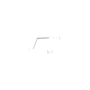 CC(=O)CC(=O)O.[InH3]